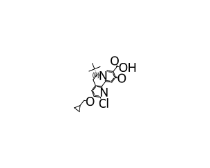 CC(C)(C)[C@H]1Cc2cc(OCC3CC3)c(Cl)nc2-c2cc(=O)c(C(=O)O)cn21